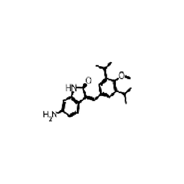 COc1c(C(C)C)cc(C=C2C(=O)Nc3cc(N)ccc32)cc1C(C)C